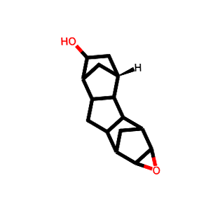 OC1C[C@H]2CC1C1CC3C4CC(C5OC45)C3C12